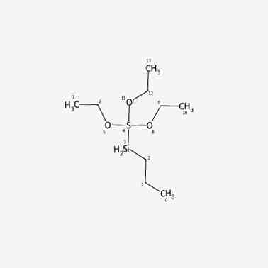 CCC[SiH2]S(OCC)(OCC)OCC